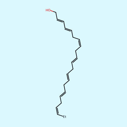 CC/C=C\CC=CCC=CCC=CC/C=C\C/C=C/C=C/CO